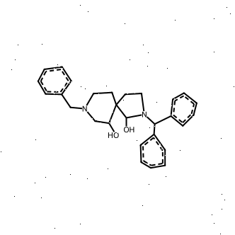 OC1CN(Cc2ccccc2)CCC12CCN(C(c1ccccc1)c1ccccc1)C2O